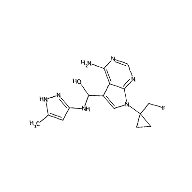 Cc1cc(NC(O)c2cn(C3(CF)CC3)c3ncnc(N)c23)n[nH]1